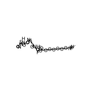 Cc1nc2cc(C(=O)Nc3nc(-c4ccccn4)cs3)ccc2n1CCCC(=O)NCc1cc(F)c(OC(=O)CCOCCOCCOCCOCCOCCOCCN=[N+]=[N-])c(F)c1